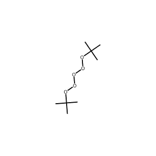 CC(C)(C)OOOOOC(C)(C)C